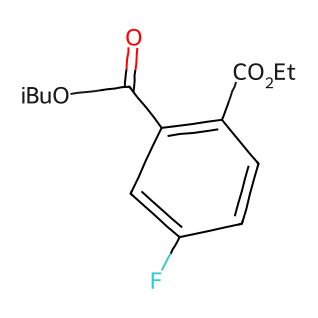 CCOC(=O)c1ccc(F)cc1C(=O)OCC(C)C